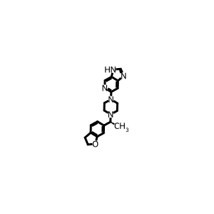 C[C@@H](c1ccc2c(c1)OCC2)N1CCN(c2cc3nc[nH]c3cn2)CC1